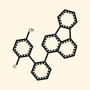 N#Cc1ccc(Cl)c(-c2ccccc2-c2ccc3c4c(cccc24)-c2ccccc2-3)c1